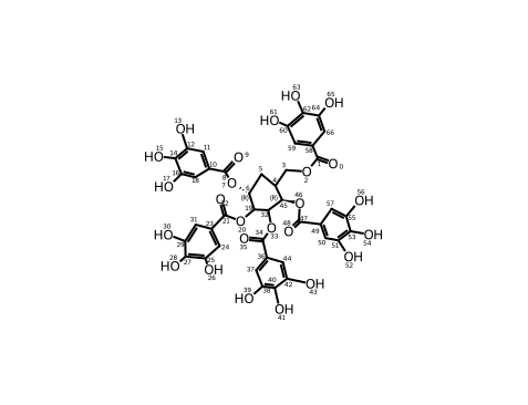 O=C(OCC1C[C@@H](OC(=O)c2cc(O)c(O)c(O)c2)C(OC(=O)c2cc(O)c(O)c(O)c2)C(OC(=O)c2cc(O)c(O)c(O)c2)[C@@H]1OC(=O)c1cc(O)c(O)c(O)c1)c1cc(O)c(O)c(O)c1